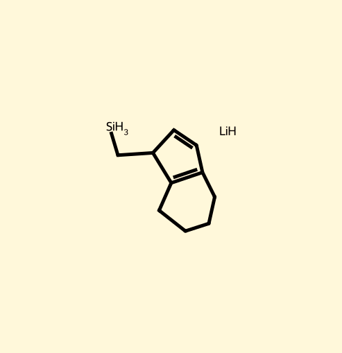 [LiH].[SiH3]CC1C=CC2=C1CCCC2